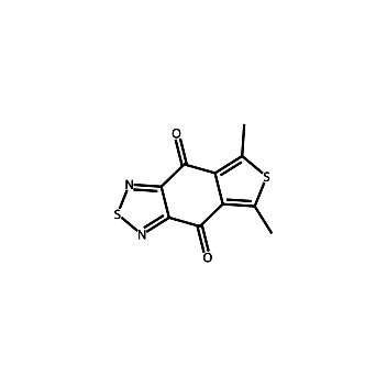 Cc1sc(C)c2c1C(=O)c1nsnc1C2=O